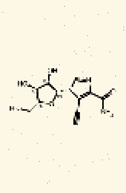 C#Cc1c(C(N)=O)ncn1[C@@H]1O[C@H](CO)[C@@H](O)[C@H]1O